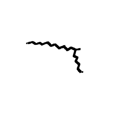 [CH2]CCCCCCCCCCCC(C)CCCCC[CH2]